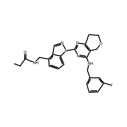 CCC(=O)NCc1cccc2c1cnn2-c1nc2c(c(NCc3cccc(F)c3)n1)COCC2